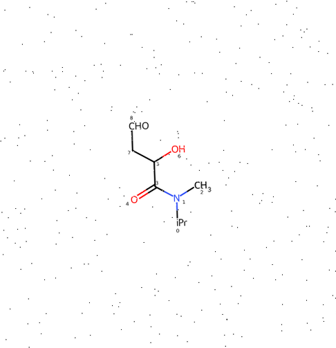 CC(C)N(C)C(=O)C(O)CC=O